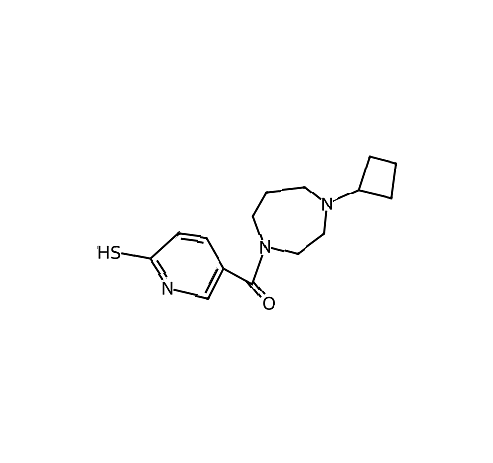 O=C(c1ccc(S)nc1)N1CCCN(C2CCC2)CC1